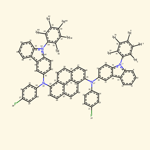 [2H]c1c([2H])c([2H])c(-n2c3ccccc3c3cc(N(c4ccc(F)cc4)c4ccc5ccc6c(N(c7ccc(F)cc7)c7ccc8c(c7)c7ccccc7n8-c7c([2H])c([2H])c([2H])c([2H])c7[2H])ccc7ccc4c5c76)ccc32)c([2H])c1[2H]